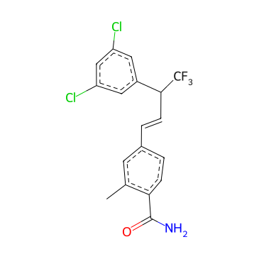 Cc1cc(/C=C/C(c2cc(Cl)cc(Cl)c2)C(F)(F)F)ccc1C(N)=O